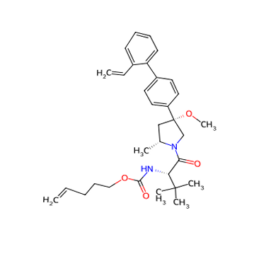 C=CCCCOC(=O)N[C@H](C(=O)N1C[C@](OC)(c2ccc(-c3ccccc3C=C)cc2)C[C@H]1C)C(C)(C)C